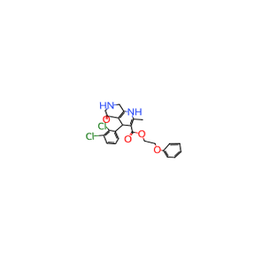 CC1=C(C(=O)OCCOc2ccccc2)C(c2cccc(Cl)c2Cl)C2=C(CNCC2=O)N1